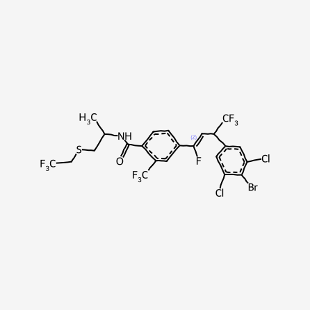 CC(CSCC(F)(F)F)NC(=O)c1ccc(/C(F)=C/C(c2cc(Cl)c(Br)c(Cl)c2)C(F)(F)F)cc1C(F)(F)F